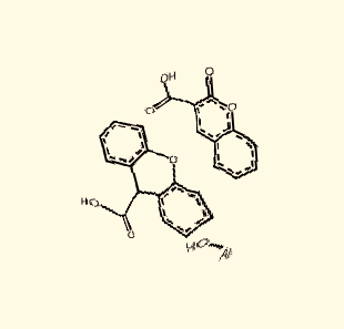 O=C(O)C1c2ccccc2Oc2ccccc21.O=C(O)c1cc2ccccc2oc1=O.[OH][Al]